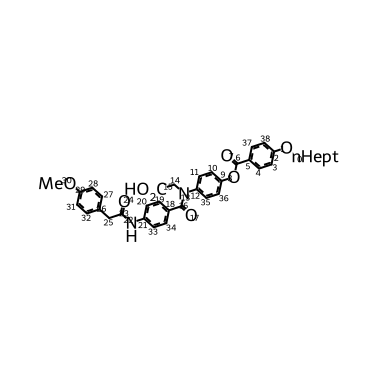 CCCCCCCOc1ccc(C(=O)Oc2ccc(N(CC(=O)O)C(=O)c3ccc(NC(=O)Cc4ccc(OC)cc4)cc3)cc2)cc1